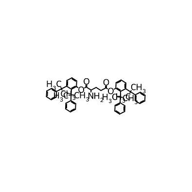 CC(C)(c1ccccc1)c1cccc(OC(=O)CCC(N)C(=O)Oc2cccc(C(C)(C)c3ccccc3)c2C(C)(C)c2ccccc2)c1C(C)(C)c1ccccc1